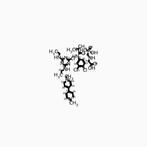 CCNc1nc(Cl)nc(NCC)n1.CN(C)C(=O)Nc1ccc(Cl)c(Cl)c1.C[n+]1ccc(-c2cc[n+](C)cc2)cc1.O=C(O)CNCP(=O)(O)O